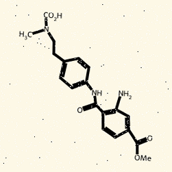 COC(=O)c1ccc(C(=O)Nc2ccc(CCN(C)C(=O)O)cc2)c(N)c1